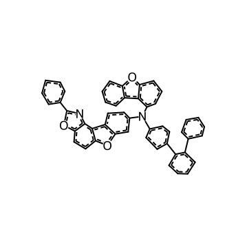 c1ccc(-c2nc3c(ccc4oc5cc(N(c6ccc(-c7ccccc7-c7ccccc7)cc6)c6cccc7oc8ccccc8c67)ccc5c43)o2)cc1